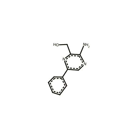 Nc1ncc(-c2ccccc2)nc1CO